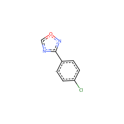 Clc1c[c]c(-c2ncon2)cc1